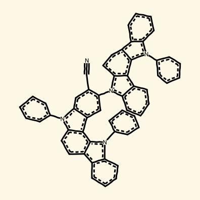 N#Cc1cc2c(cc1-n1c3ccccc3c3c1ccc1c4ccccc4n(-c4ccccc4)c13)c1c(ccc3c4ccccc4n(-c4ccccc4)c31)n2-c1ccccc1